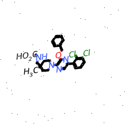 CC1(CNC(=O)O)CCN(c2ncc(-c3cccc(Cl)c3Cl)nc2OCc2ccccc2)CC1